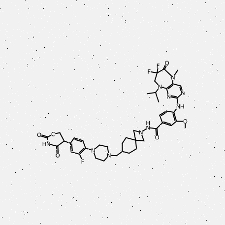 COc1cc(C(=O)NN2CC3(CCC(CN4CCN(c5ccc(C6CCC(=O)NC6=O)cc5F)CC4)CC3)C2)ccc1Nc1ncc2c(n1)N(C(C)C)CC(F)(F)C(=O)N2C